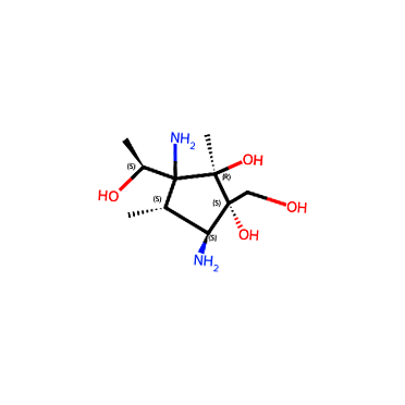 C[C@H](O)C1(N)[C@@H](C)[C@H](N)[C@](O)(CO)[C@]1(C)O